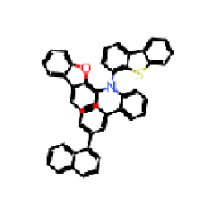 c1cc(-c2ccccc2N(c2cccc3c2oc2ccccc23)c2cccc3c2sc2ccccc23)cc(-c2cccc3ccccc23)c1